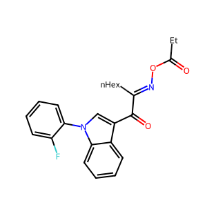 CCCCCC/C(=N\OC(=O)CC)C(=O)c1cn(-c2ccccc2F)c2ccccc12